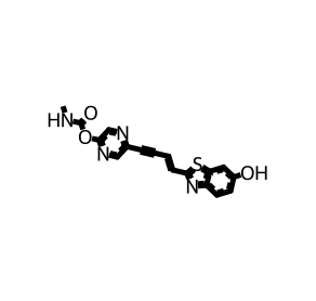 CNC(=O)Oc1cnc(C#CC=Cc2nc3ccc(O)cc3s2)cn1